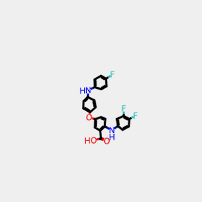 O=C(O)c1cc(Oc2ccc(Nc3ccc(F)cc3)cc2)ccc1Nc1ccc(F)c(F)c1